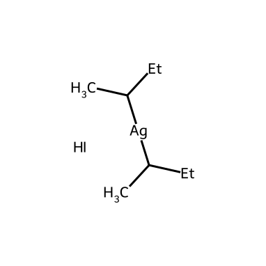 CC[CH](C)[Ag][CH](C)CC.I